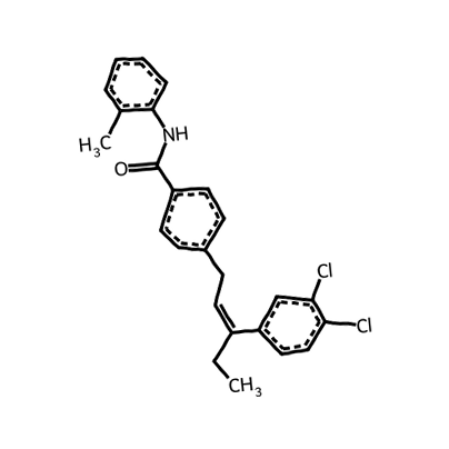 CCC(=CCc1ccc(C(=O)Nc2ccccc2C)cc1)c1ccc(Cl)c(Cl)c1